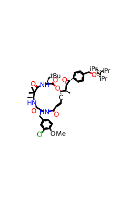 COc1ccc(C[C@H]2NC(=O)/C=C/C[C@@H]([C@H](C)[C@H]3O[C@@H]3c3ccc(CO[Si](C(C)C)(C(C)C)C(C)C)cc3)OC(=O)[C@H](CC(C)(C)C)NC(=O)C(C)(C)[C@H](C)NC2=O)cc1Cl